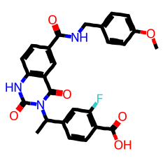 COc1ccc(CNC(=O)c2ccc3[nH]c(=O)n(C(C)c4ccc(C(=O)O)c(F)c4)c(=O)c3c2)cc1